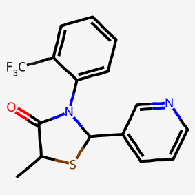 CC1SC(c2cccnc2)N(c2ccccc2C(F)(F)F)C1=O